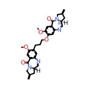 C=C1C[C@H]2C=Nc3cc(CCCOc4cc5c(cc4OC)C(=O)N4CC(=C)C[C@H]4C=N5)c(OC)cc3C(=O)N2C1